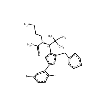 CC(=O)N(CCCN)[C@H](c1cc(-c2cc(F)ccc2F)cn1Cc1ccccc1)C(C)(C)C